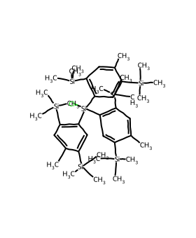 Cc1cc([Si](C)(C)C)c([Si](Cl)(c2cc([Si](C)(C)C)c(C)cc2[Si](C)(C)C)c2cc([Si](C)(C)C)c(C)cc2[Si](C)(C)C)cc1[Si](C)(C)C